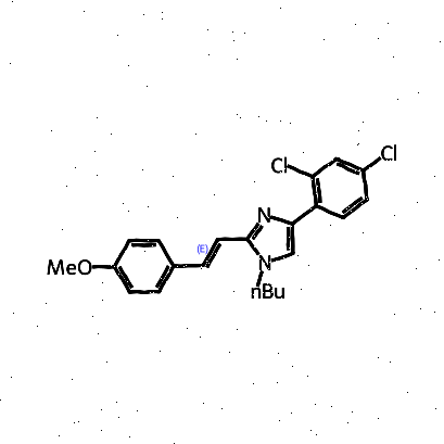 CCCCn1cc(-c2ccc(Cl)cc2Cl)nc1/C=C/c1ccc(OC)cc1